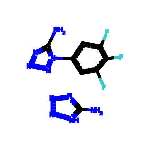 Nc1nnn[nH]1.Nc1nnnn1-c1cc(F)c(F)c(F)c1